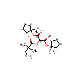 CCC(C)(C)C(=O)OC(C(=O)OC1(C)CCCC1)C(=O)OC1(C)CCCC1